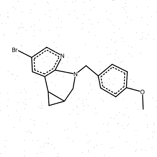 COc1ccc(CN2CC3CC3c3cc(Br)cnc32)cc1